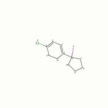 ClC1=CC=C(C2(I)CCCC2)CC1